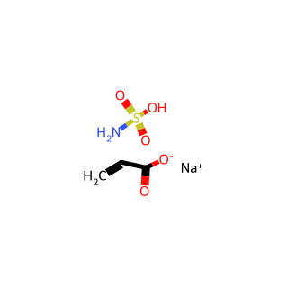 C=CC(=O)[O-].NS(=O)(=O)O.[Na+]